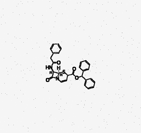 O=C(Cc1ccccc1)N[C@@H]1C(=O)N2C=CC(C(=O)OC(c3ccccc3)c3ccccc3)S[C@H]12